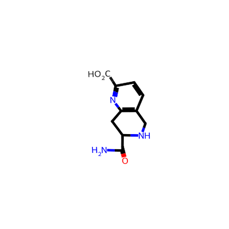 NC(=O)C1Cc2nc(C(=O)O)ccc2CN1